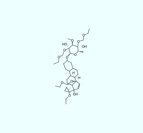 CCOCO[C@]1(O)[C@H](OC2CC[C@@]3(C)C(CC[C@@H]4[C@H]3CC[C@]3(C)C(O)(C5(OCC)CC5)C=C[C@@]43OCOCC)C2)O[C@H](C)[C@](O)(OCOCC)[C@@H]1OC